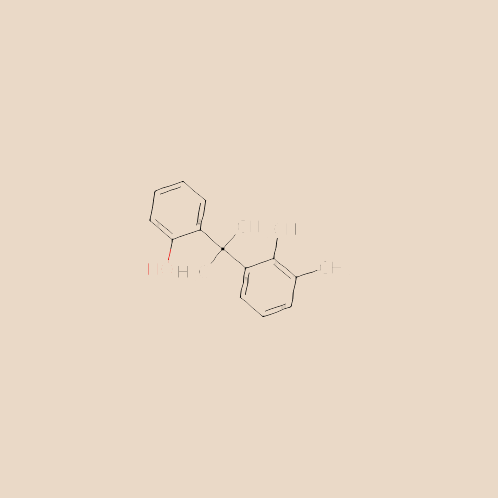 Cc1cccc(C(C)(C)c2ccccc2O)c1C